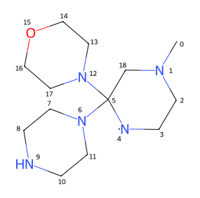 CN1CC[N]C(N2CCNCC2)(N2CCOCC2)C1